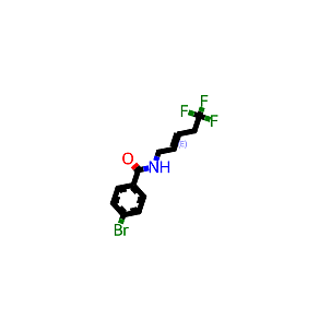 O=C(NC/C=C/CC(F)(F)F)c1ccc(Br)cc1